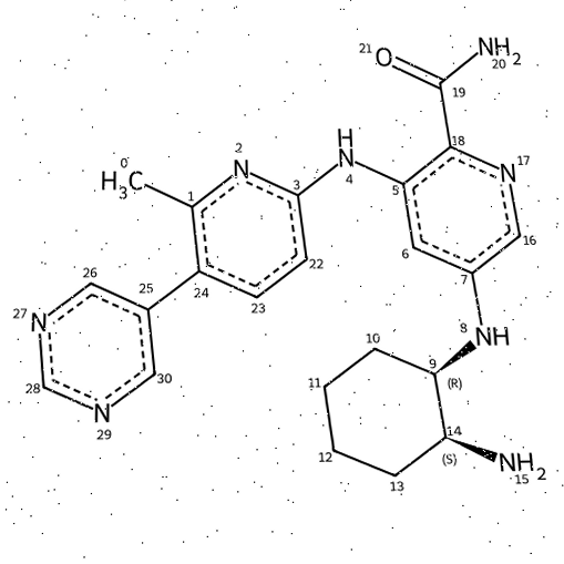 Cc1nc(Nc2cc(N[C@@H]3CCCC[C@@H]3N)cnc2C(N)=O)ccc1-c1cncnc1